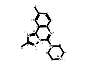 Cc1ccc2nc(N3CCNCC3)n3nc(C)nc3c2c1